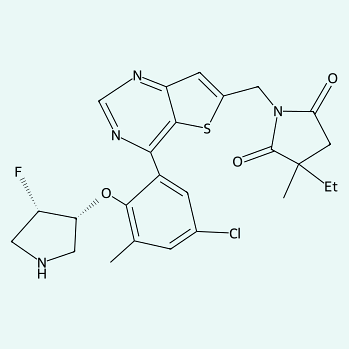 CCC1(C)CC(=O)N(Cc2cc3ncnc(-c4cc(Cl)cc(C)c4O[C@@H]4CNC[C@@H]4F)c3s2)C1=O